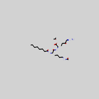 CCCCCCCC(=O)N[C@@H](CCCCNC(C)=O)C(=O)N[C@@H](CCC(=O)C=[N+]=N)C(=O)OC(C)C